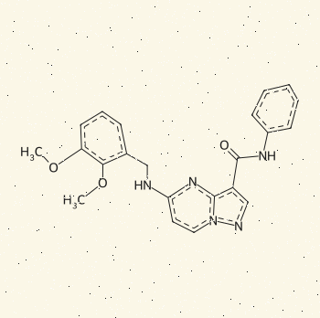 COc1cccc(CNc2ccn3ncc(C(=O)Nc4ccccc4)c3n2)c1OC